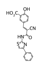 N#C/C(=C\c1ccc(O)c(C(=O)O)c1)C(=O)Nc1nc(-c2ccccc2)cs1